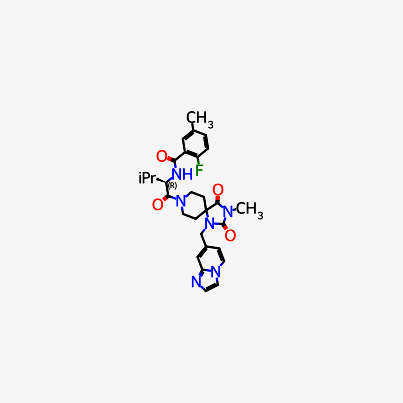 Cc1ccc(F)c(C(=O)N[C@@H](C(=O)N2CCC3(CC2)C(=O)N(C)C(=O)N3Cc2ccn3ccnc3c2)C(C)C)c1